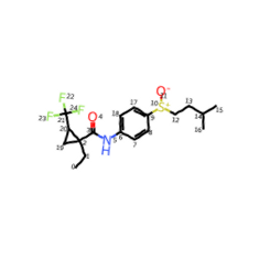 CCC1(C(=O)Nc2ccc([S+]([O-])CCC(C)C)cc2)CC1C(F)(F)F